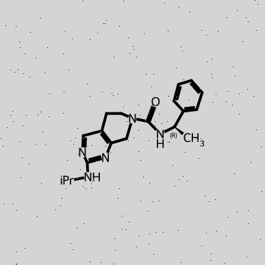 CC(C)Nc1ncc2c(n1)CN(C(=O)N[C@H](C)c1ccccc1)CC2